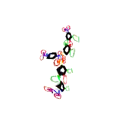 O=[N+]([O-])c1ccc(N(S(=O)(=O)c2cc(Cl)c(Oc3ccc([N+](=O)[O-])cc3Cl)c(Cl)c2)S(=O)(=O)c2cc(Cl)c(Oc3ccc([N+](=O)[O-])cc3Cl)c(Cl)c2)cc1